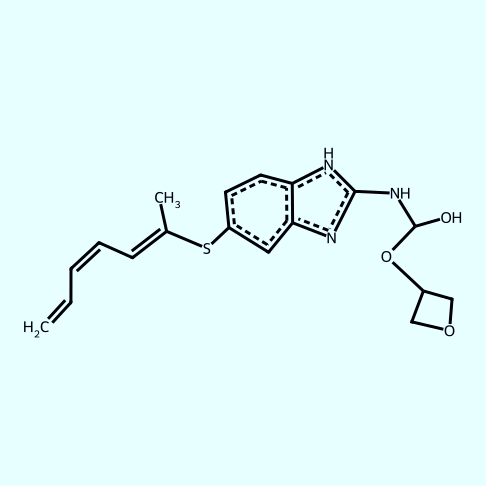 C=C/C=C\C=C(/C)Sc1ccc2[nH]c(NC(O)OC3COC3)nc2c1